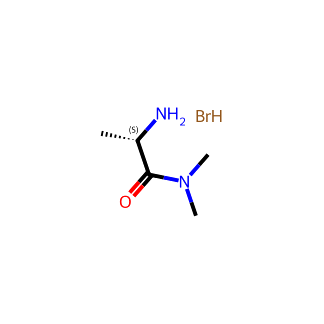 Br.C[C@H](N)C(=O)N(C)C